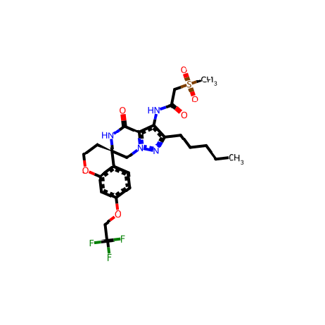 CCCCCc1nn2c(c1NC(=O)CS(C)(=O)=O)C(=O)N[C@]1(CCOc3cc(OCC(F)(F)F)ccc31)C2